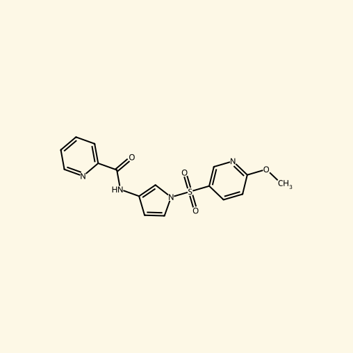 COc1ccc(S(=O)(=O)n2ccc(NC(=O)c3ccccn3)c2)cn1